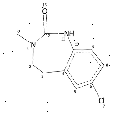 CN1CCc2cc(Cl)ccc2NC1=O